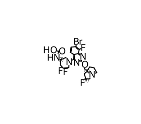 O=C(O)N[C@H]1CN(c2nc(OC[C@@]34CCCN3C[C@H](F)C4)nc3c(F)c(Br)ccc23)CC(F)(F)C1